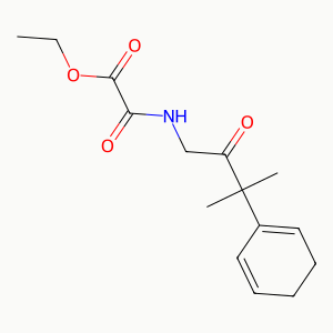 CCOC(=O)C(=O)NCC(=O)C(C)(C)C1=CCCC=C1